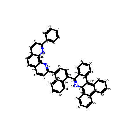 c1ccc(-c2ccc3ccc4ccc(-c5ccc(-c6nc7c8ccccc8c8ccccc8c7c7ccccc67)c6ccccc56)nc4c3n2)cc1